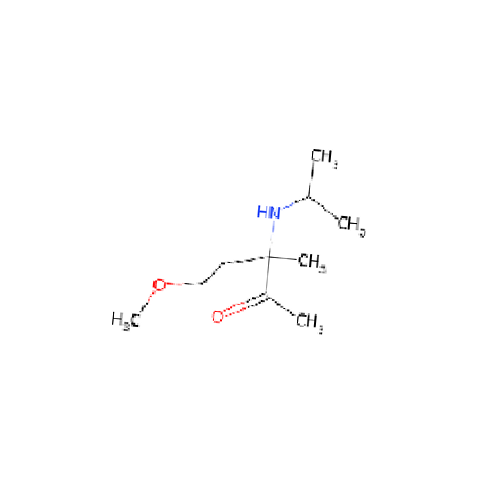 COCCC(C)(NC(C)C)C(C)=O